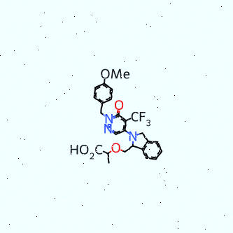 COc1ccc(Cn2ncc(N3Cc4ccccc4C3COC(C)C(=O)O)c(C(F)(F)F)c2=O)cc1